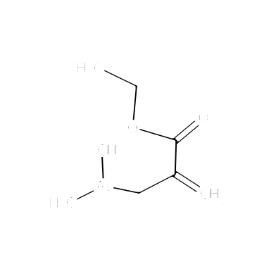 C=C(C[As](C)C)C(=O)OCC